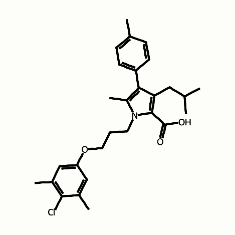 Cc1ccc(-c2c(CC(C)C)c(C(=O)O)n(CCCOc3cc(C)c(Cl)c(C)c3)c2C)cc1